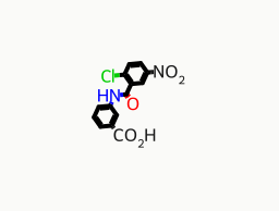 O=C(O)c1cccc(NC(=O)c2cc([N+](=O)[O-])ccc2Cl)c1